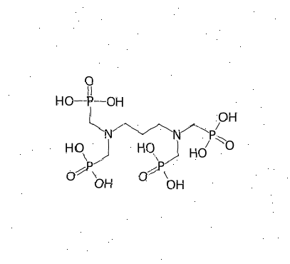 O=P(O)(O)CN(CCCN(CP(=O)(O)O)CP(=O)(O)O)CP(=O)(O)O